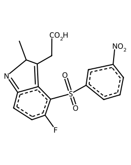 CC1N=c2ccc(F)c(S(=O)(=O)c3cccc([N+](=O)[O-])c3)c2=C1CC(=O)O